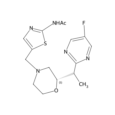 CC(=O)Nc1ncc(CN2CCO[C@@H](C(C)c3ncc(F)cn3)C2)s1